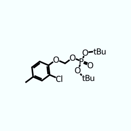 Cc1ccc(OCOP(=O)(OC(C)(C)C)OC(C)(C)C)c(Cl)c1